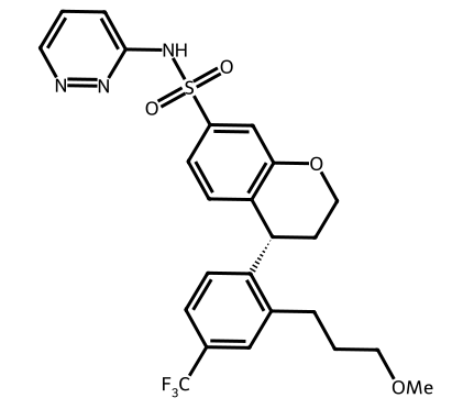 COCCCc1cc(C(F)(F)F)ccc1[C@H]1CCOc2cc(S(=O)(=O)Nc3cccnn3)ccc21